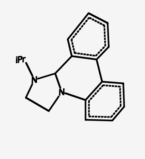 CC(C)N1CCN2c3ccccc3-c3ccccc3C21